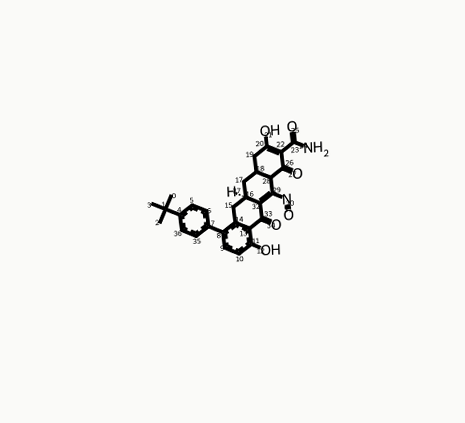 CC(C)(C)c1ccc(-c2ccc(O)c3c2C[C@H]2CC4CC(O)=C(C(N)=O)C(=O)C4C(N=O)=C2C3=O)cc1